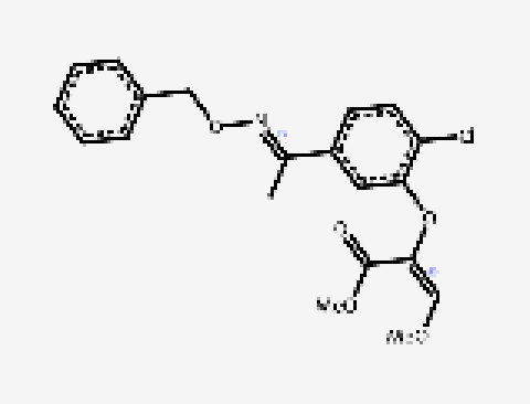 CO/C=C(/Oc1cc(/C(C)=N/OCc2ccccc2)ccc1Cl)C(=O)OC